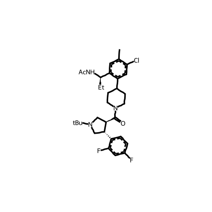 CC[C@@H](NC(C)=O)c1cc(C)c(Cl)cc1C1CCN(C(=O)[C@@H]2CN(C(C)(C)C)C[C@H]2c2ccc(F)cc2F)CC1